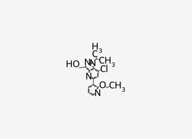 CCOc1ncccc1-c1cc(Cl)c2c(n1)c(CO)nn2C(C)C